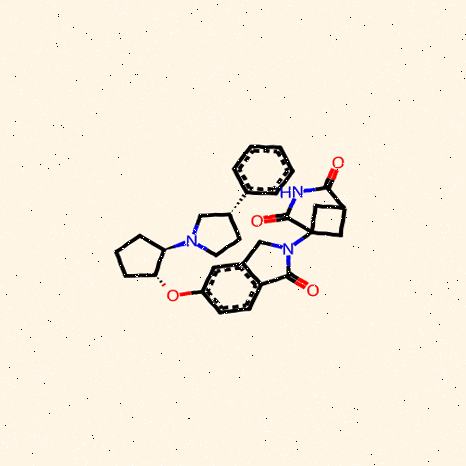 O=C1NC(=O)C2(N3Cc4cc(O[C@@H]5CCC[C@H]5N5CC[C@@H](c6ccccc6)C5)ccc4C3=O)CC1C2